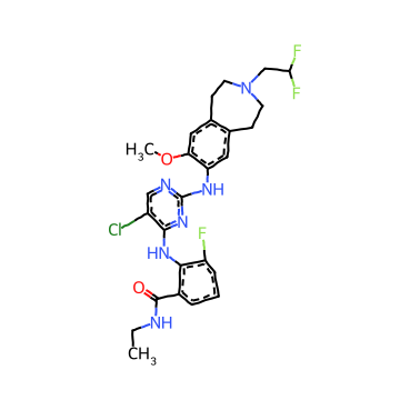 CCNC(=O)c1cccc(F)c1Nc1nc(Nc2cc3c(cc2OC)CCN(CC(F)F)CC3)ncc1Cl